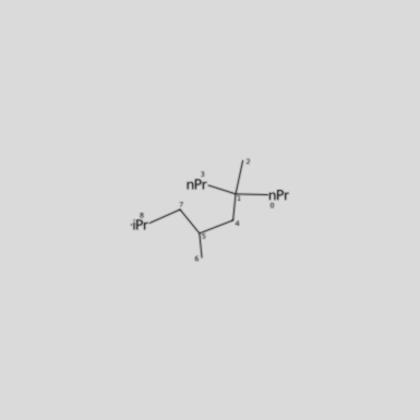 CCCC(C)(CCC)CC(C)C[C](C)C